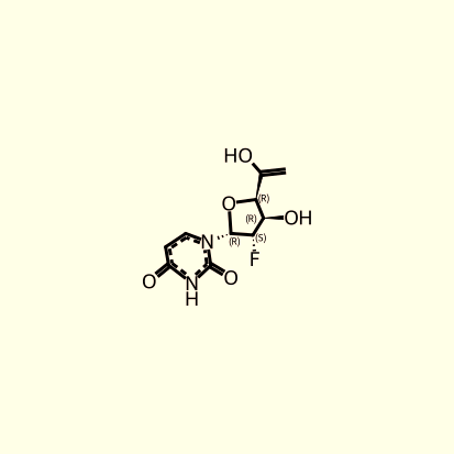 C=C(O)[C@@H]1O[C@@H](n2ccc(=O)[nH]c2=O)[C@@H](F)[C@@H]1O